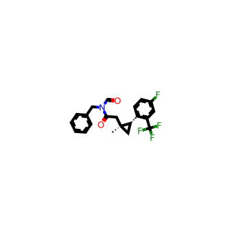 C[C@@]1(CC(=O)N(C=O)Cc2ccccc2)C[C@H]1c1ccc(F)cc1C(F)(F)F